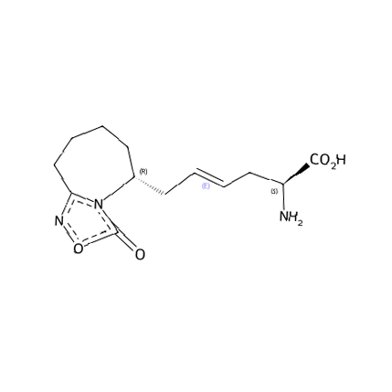 N[C@@H](C/C=C/C[C@H]1CCCCc2noc(=O)n21)C(=O)O